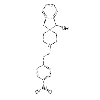 O=[N+]([O-])c1ccc(CCN2CCC3(CC2)Cc2ccccc2C3O)cc1